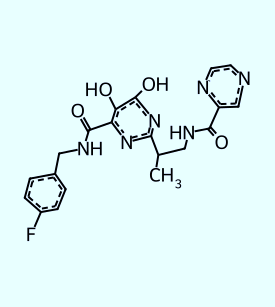 CC(CNC(=O)c1cnccn1)c1nc(O)c(O)c(C(=O)NCc2ccc(F)cc2)n1